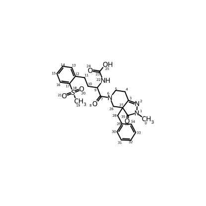 CN1N=C2CCN(C(=O)C(CCc3ccccc3S(C)(=O)=O)NC(=O)O)CC2(Cc2ccccc2)C1=O